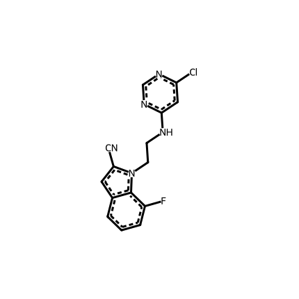 N#Cc1cc2cccc(F)c2n1CCNc1cc(Cl)ncn1